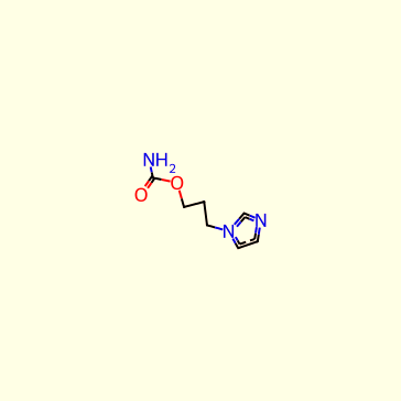 NC(=O)OCCCn1ccnc1